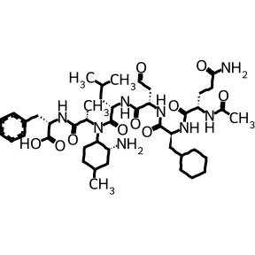 CC(=O)N[C@@H](CCC(N)=O)C(=O)N[C@@H](CC1CCCCC1)C(=O)N[C@@H](CC=O)C(=O)N[C@@H](CC(C)C)C(=O)N(C1CCC(C)C[C@H]1N)[C@@H](C)C(=O)N[C@@H](Cc1ccccc1)C(=O)O